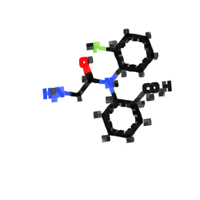 NCC(=O)N(c1ccccc1F)c1ccccc1C(=O)O